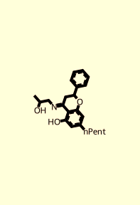 CCCCCc1cc(O)c2c(c1)OC(c1ccccc1)CC2=NCC(C)O